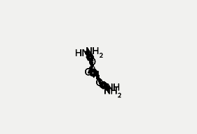 N=C(N)c1ccc(OCCCN2CCC(=O)N(CCCOc3ccc(C(=N)N)cc3)CC2)cc1